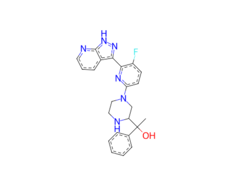 CC(O)(c1ccccc1)C1CN(c2ccc(F)c(-c3n[nH]c4ncccc34)n2)CCN1